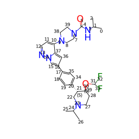 CC(C)NC(=O)N1CCN(c2ccnn3cc(-c4ccc([C@H]5CN(C(C)C)CC[C@@H]5OC(F)F)cc4)cc23)CC1